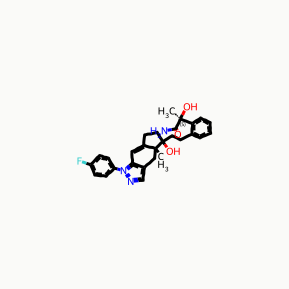 CC12Cc3cnn(-c4ccc(F)cc4)c3C=C1CCC2(O)CCc1ccccc1[C@](C)(O)C(N)=O